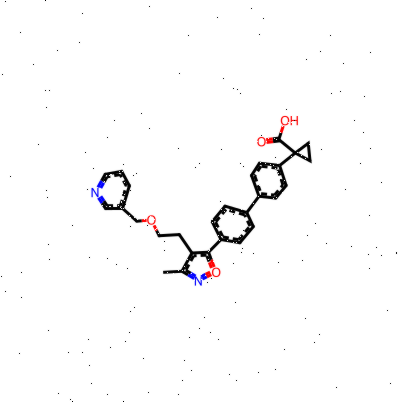 Cc1noc(-c2ccc(-c3ccc(C4(C(=O)O)CC4)cc3)cc2)c1CCOCc1cccnc1